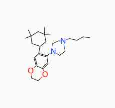 CCCCN1CCN(c2cc3c(cc2C2CC(C)(C)CC(C)(C)C2)OCCO3)CC1